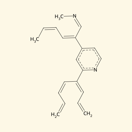 C=C/C=C\C(=C/C=C)c1cc(C(/C=N\C)=C/C=C\C)ccn1